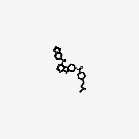 CN(C)CCN1CCN(C(=O)[C@H]2CCc3c(sc4ncnc(Nc5ccn6nccc6c5)c34)C2)CC1